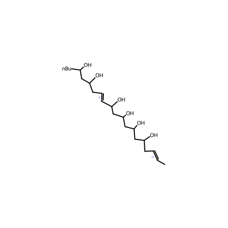 C/C=C/CC(O)CC(O)CC(O)CC(O)/C=C/CC(O)CC(O)CCCC